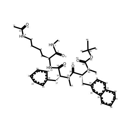 CNC(=O)[C@H](CCCCNC(C)=O)NC(=O)[C@@H](Cc1ccccc1)N(C)C(=O)[C@@H](Cc1ccc2ccccc2c1)N(C)C(=O)OC(C)(C)C